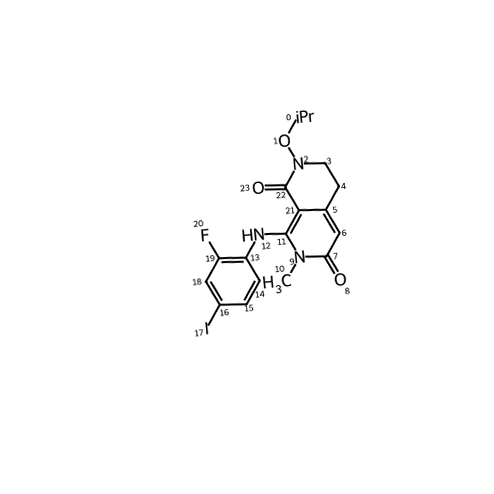 CC(C)ON1CCc2cc(=O)n(C)c(Nc3ccc(I)cc3F)c2C1=O